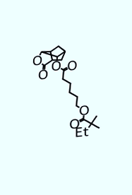 CCC(C)(C)C(=O)OCCCCCC(=O)OC1C2CC3C(=O)OC1C3C2